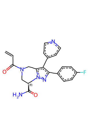 C=CC(=O)N1Cc2c(-c3ccncc3)c(-c3ccc(F)cc3)nn2[C@@H](C(N)=O)C1